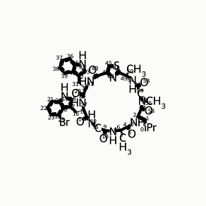 CC(C)/C=C1\NC(=O)[C@@H](C)NC(=O)CNC(=O)[C@H](Cc2c[nH]c3cccc(Br)c23)NC(=O)[C@H](Cc2c[nH]c3ccccc23)NC(=O)c2csc(n2)[C@@H](C)NC(=O)CN(C)C1=O